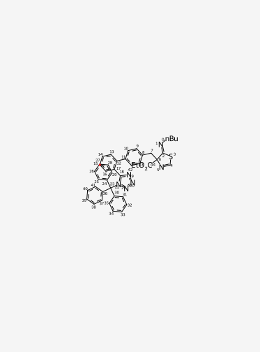 CCCC/N=C1\SC=NC1(Cc1ccc(-c2ccccc2-c2nnnn2C(c2ccccc2)(c2ccccc2)c2ccccc2)cc1)C(=O)OCC